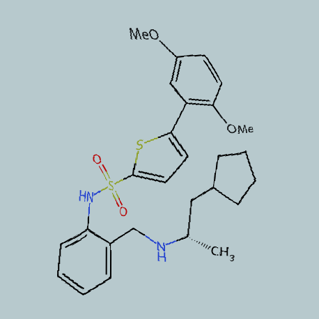 COc1ccc(OC)c(-c2ccc(S(=O)(=O)Nc3ccccc3CN[C@@H](C)CC3CCCC3)s2)c1